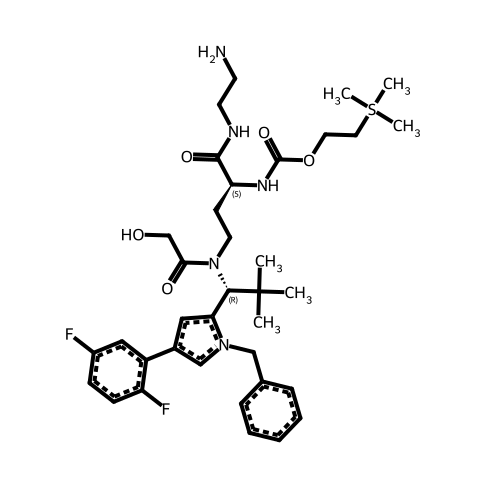 CC(C)(C)[C@H](c1cc(-c2cc(F)ccc2F)cn1Cc1ccccc1)N(CC[C@H](NC(=O)OCCS(C)(C)C)C(=O)NCCN)C(=O)CO